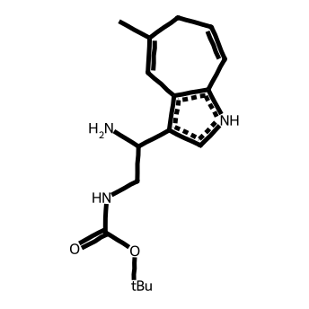 CC1=Cc2c(C(N)CNC(=O)OC(C)(C)C)c[nH]c2C=CC1